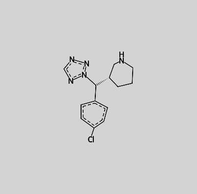 Clc1ccc(C([C@H]2CCCNC2)n2ncnn2)cc1